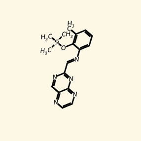 Cc1cccc(N=Cc2ncc3nccnc3n2)c1O[Si](C)(C)C